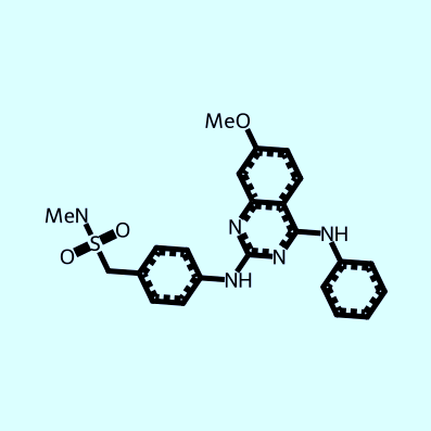 CNS(=O)(=O)Cc1ccc(Nc2nc(Nc3ccccc3)c3ccc(OC)cc3n2)cc1